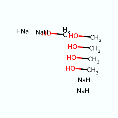 CO.CO.CO.CO.CO.[NaH].[NaH].[NaH].[NaH]